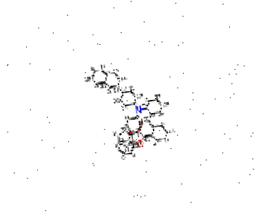 c1ccc(-c2ccc(N(c3ccc(-c4ccc5ccccc5c4)cc3)c3ccccc3-c3cc4c5ccccc5oc4c4ccccc34)cc2)cc1